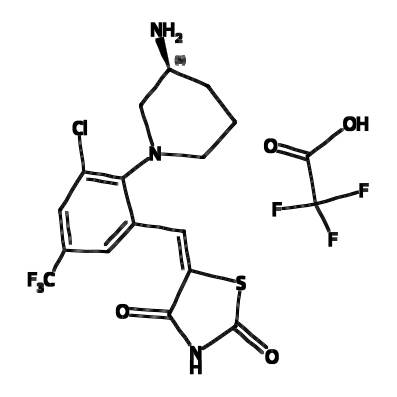 N[C@H]1CCCN(c2c(Cl)cc(C(F)(F)F)cc2C=C2SC(=O)NC2=O)C1.O=C(O)C(F)(F)F